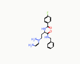 N/C=C\N(N)CCC(NC(=O)c1ccc(F)cc1)C(=O)NCc1ccccc1